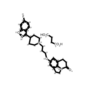 O=C(O)CCC(=O)O.O=C1CCc2cc(OCCCN3CCC(c4noc5cc(F)ccc45)CC3)cc3c2N1CC3